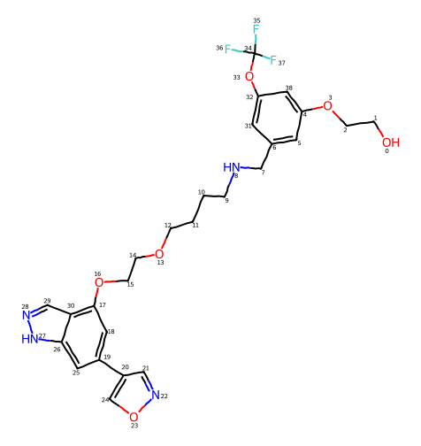 OCCOc1cc(CNCCCCOCCOc2cc(-c3cnoc3)cc3[nH]ncc23)cc(OC(F)(F)F)c1